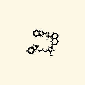 CC(=O)c1nc(N2CCc3cccc(C(=O)Nc4nc5ccccc5s4)c3C2)sc1CCCn1cnc2ccccc21